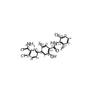 NC(=O)c1nc(-c2cc(O)c(C(=O)Nc3c(F)cccc3Cl)cc2F)ccc1Cl